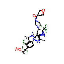 Cc1nnc(N[C@H](C)c2cccc(C(F)(F)C(C)O)c2F)c2cc(N3CCN(C(=O)C4COC4)CC3)c(C(F)(F)F)nc12